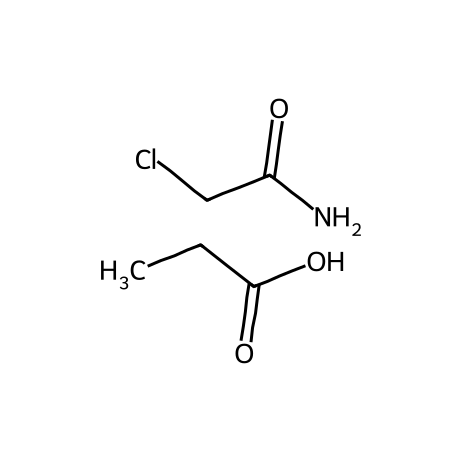 CCC(=O)O.NC(=O)CCl